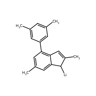 [Li][CH]1C(C)=Cc2c(-c3cc(C)cc(C)c3)cc(C)cc21